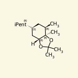 CCC[C@@H](C)[C@H]1C[C@@H](C)[C@@]2(C)OC(C)(C)O[C@@H]2C1